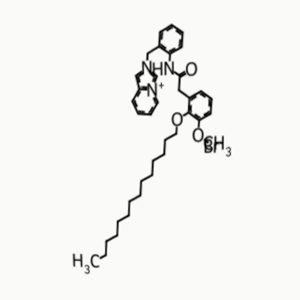 CCCCCCCCCCCCCCOc1c(CC(=O)Nc2ccccc2Cn2cc3cccc[n+]3c2)cccc1OC.[Br-]